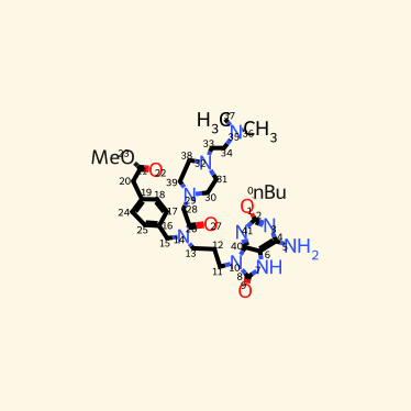 CCCCOc1nc(N)c2[nH]c(=O)n(CCCN(Cc3ccc(CC(=O)OC)cc3)C(=O)CN3CCN(CCN(C)C)CC3)c2n1